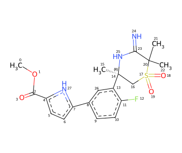 COC(=O)c1ccc(-c2ccc(F)c([C@]3(C)CS(=O)(=O)C(C)(C)C(=N)N3)c2)[nH]1